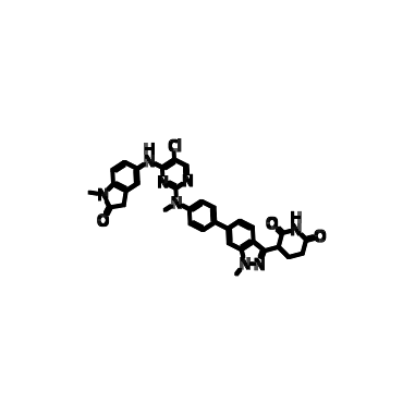 CN1C(=O)Cc2cc(Nc3nc(N(C)c4ccc(-c5ccc6c(C7CCC(=O)NC7=O)nn(C)c6c5)cc4)ncc3Cl)ccc21